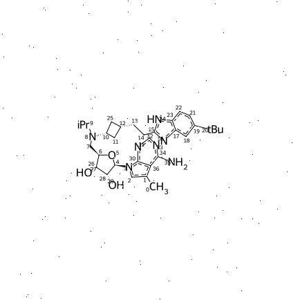 Cc1cn([C@@H]2O[C@H](CN(C(C)C)[C@H]3C[C@@H](CCc4nc5cc(C(C)(C)C)ccc5[nH]4)C3)[C@@H](O)[C@H]2O)c2ncnc(N)c12